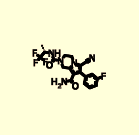 C[C@H](NC(=O)N1CCn2c(C#N)c(-c3cccc(F)c3)c(C(N)=O)c2C1)C(F)(F)F